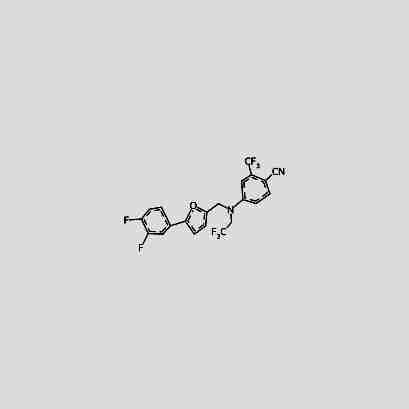 N#Cc1ccc(N(Cc2ccc(-c3ccc(F)c(F)c3)o2)CC(F)(F)F)cc1C(F)(F)F